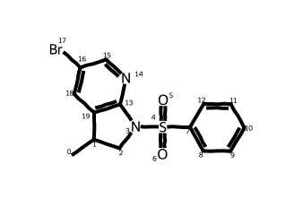 CC1CN(S(=O)(=O)c2ccccc2)c2ncc(Br)cc21